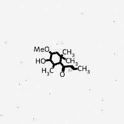 C/C=C/C(=O)C1C(C)C(O)C(OC)CC1(C)C